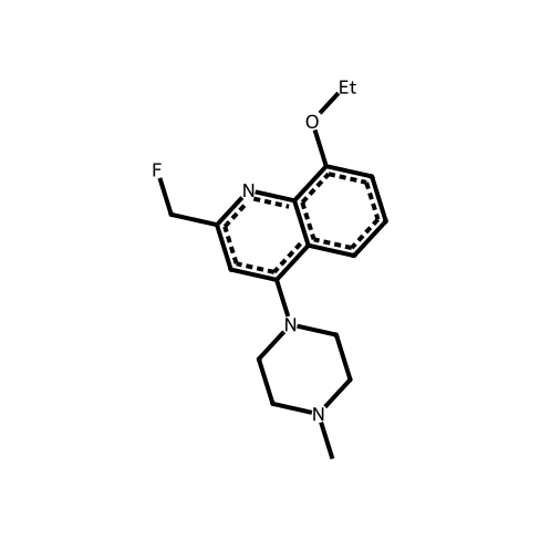 CCOc1cccc2c(N3CCN(C)CC3)cc(CF)nc12